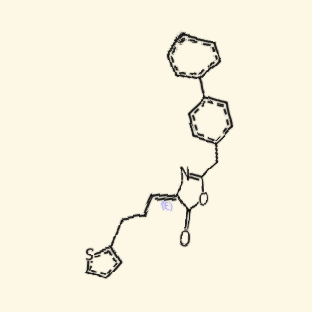 O=C1OC(Cc2ccc(-c3ccccc3)cc2)=N/C1=C/CCc1cccs1